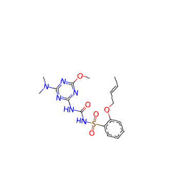 C/C=C/COc1ccccc1S(=O)(=O)NC(=O)Nc1nc(OC)nc(N(C)C)n1